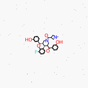 Cc1c(F)cccc1[C@@H]1C(C(=O)c2cccc(O)c2)CN(C(=O)C2CN(C)C2)C[C@@H]1C(=O)c1cccc(O)c1